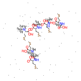 [2H]C([2H])([2H])N([13CH3])[C@@H](CCSC)C(=O)O.[2H]C([2H])([2H])N[C@@H](CCSC)C(=O)O.[2H]N([2H])[C@@]([2H])(CCSC)C(=O)O.[2H][13CH2]N[C@@H](CCSC)C(=O)O.[2H][13CH]([2H])N[C@@H](CCSC)C(=O)O.[2H][C@@](CCSC)(N[13C](=O)O)C(=O)O